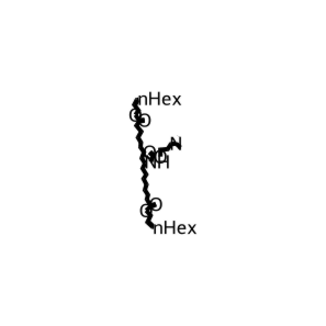 CCCCCC/C=C\COC(=O)CCCCCCCC(CCCCCCCC(=O)OC/C=C\CCCCCC)NC(=O)OCCCN(C)C